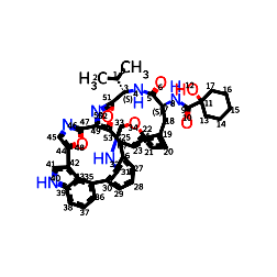 CC(C)[C@@H]1NC(=O)[C@@H](NC(=O)C2(O)CCCCC2)Cc2ccc3c(c2)[C@]24c5cccc(c5NC2O3)-c2cccc3[nH]cc(c23)-c2cnc(o2)-c2nc1oc24